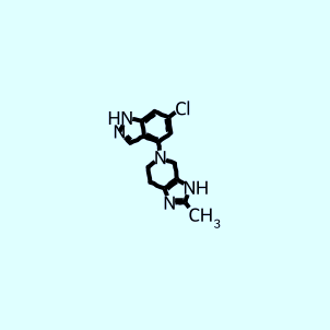 Cc1nc2c([nH]1)CN(c1cc(Cl)cc3[nH]ncc13)CC2